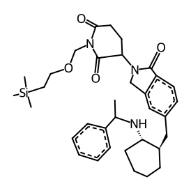 CC(N[C@H]1CCCC[C@@H]1Cc1ccc2c(c1)CN(C1CCC(=O)N(COCC[Si](C)(C)C)C1=O)C2=O)c1ccccc1